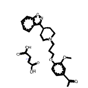 COc1cc(C(C)=O)ccc1OCCCN1CCC(c2noc3ccccc23)CC1.O=C(O)/C=C/C(=O)O